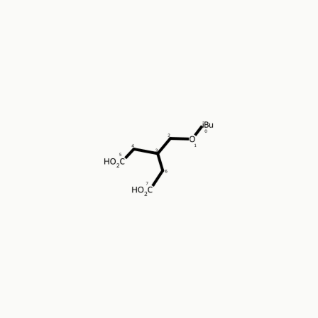 CCC(C)OCC(CC(=O)O)CC(=O)O